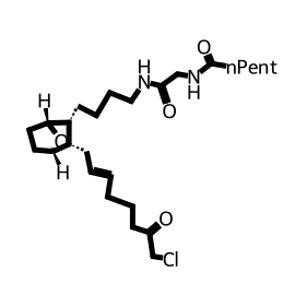 CCCCCC(=O)NCC(=O)NCCCC[C@@H]1[C@H](CC=CCCCC(=O)CCl)[C@@H]2CC[C@H]1O2